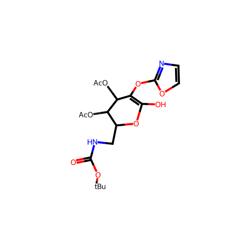 CC(=O)OC1C(Oc2ncco2)=C(O)OC(CNC(=O)OC(C)(C)C)C1OC(C)=O